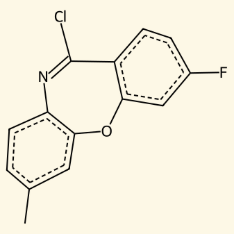 Cc1ccc2c(c1)Oc1cc(F)ccc1C(Cl)=N2